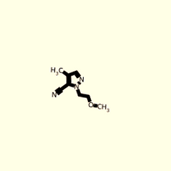 COCCn1ncc(C)c1C#N